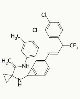 C=C(Nc1cccc(C)c1)C1(NC2c3ccc(/C=C/C(c4ccc(Cl)c(Cl)c4)C(F)(F)F)cc32)CC1